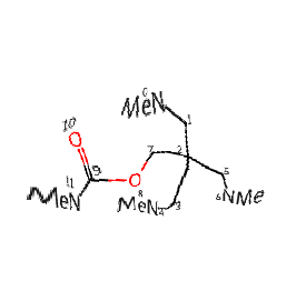 CNCC(CNC)(CNC)COC(=O)NC